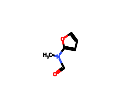 CN(C=O)c1ccco1